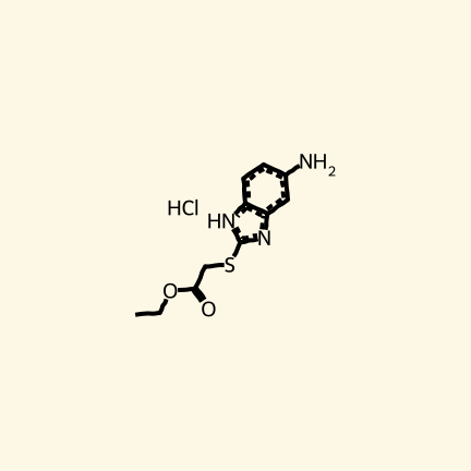 CCOC(=O)CSc1nc2cc(N)ccc2[nH]1.Cl